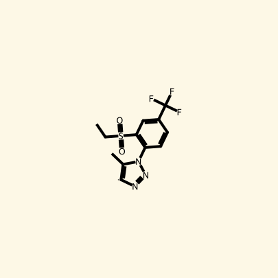 CCS(=O)(=O)c1cc(C(F)(F)F)ccc1-n1nn[c]c1C